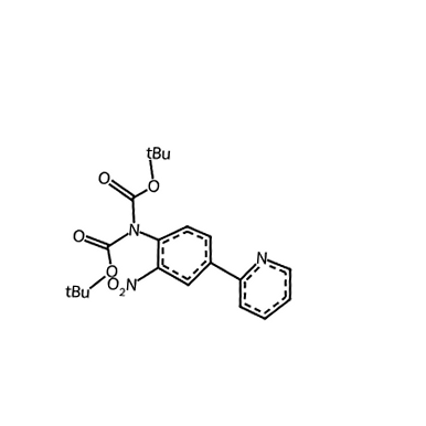 CC(C)(C)OC(=O)N(C(=O)OC(C)(C)C)c1ccc(-c2ccccn2)cc1[N+](=O)[O-]